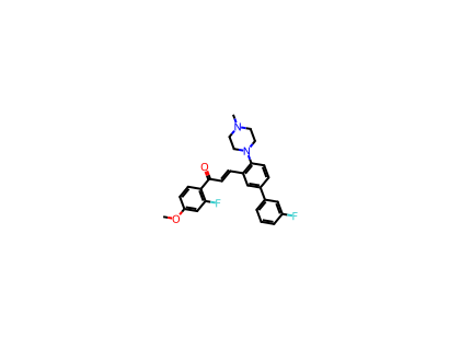 COc1ccc(C(=O)C=Cc2cc(-c3cccc(F)c3)ccc2N2CCN(C)CC2)c(F)c1